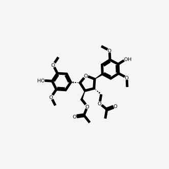 COc1cc([C@@H]2O[C@@H](c3cc(OC)c(O)c(OC)c3)[C@H](COC(C)=O)[C@H]2COC(C)=O)cc(OC)c1O